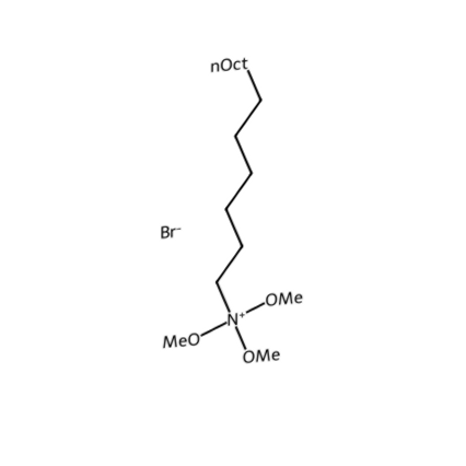 CCCCCCCCCCCCCC[N+](OC)(OC)OC.[Br-]